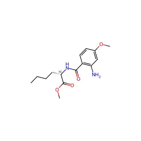 CCCC[C@H](NC(=O)c1ccc(OC)cc1N)C(=O)OC